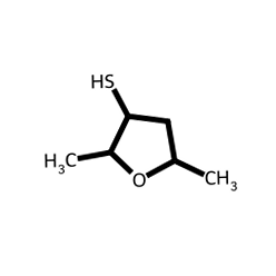 CC1CC(S)C(C)O1